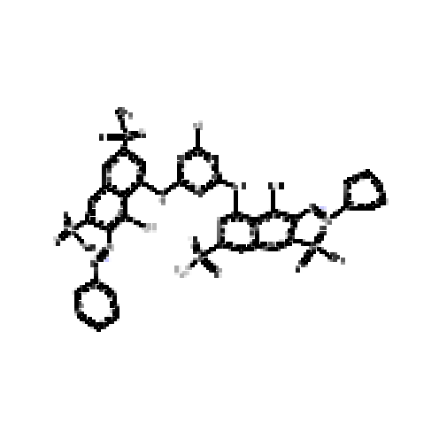 CS(=O)(=O)c1cc(Nc2nc(Cl)nc(Nc3cc(S(C)(=O)=O)cc4cc([S](=O)(=O)[Mo])c(/N=N/c5ccccc5)c(O)c34)n2)c2c(O)c(/N=N/c3ccccc3)c(S(C)(=O)=O)cc2c1